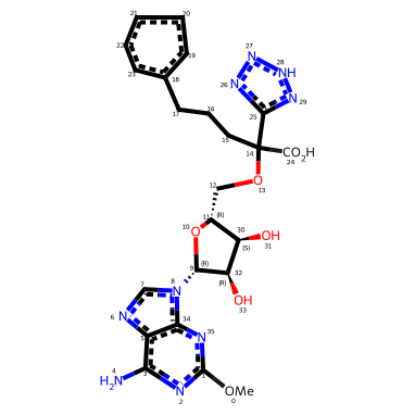 COc1nc(N)c2ncn([C@@H]3O[C@H](COC(CCCc4ccccc4)(C(=O)O)c4nn[nH]n4)[C@@H](O)[C@H]3O)c2n1